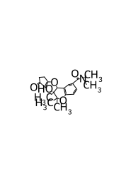 CN(C)C(=O)c1ccc2c(c1)C(OC1=CC(=O)CC1)C(C)(O)C(C)(C)O2